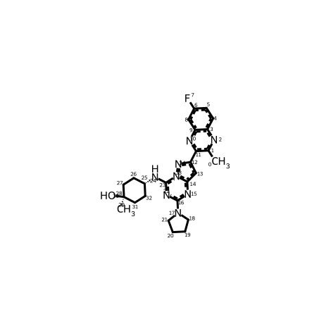 Cc1nc2ccc(F)cc2nc1-c1cc2nc(N3CCCC3)nc(N[C@H]3CC[C@](C)(O)CC3)n2n1